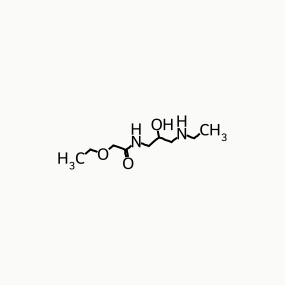 CCNCC(O)CNC(=O)COCC